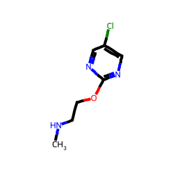 CNCCOc1ncc(Cl)cn1